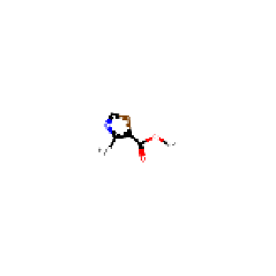 CCCOC(=O)c1scnc1C